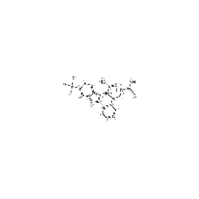 FC(F)(F)c1ccc2sc(-c3ccncc3C(CNC(=S)S)NC(=S)S)nc2c1